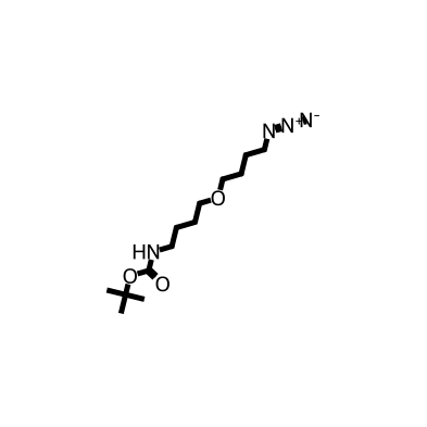 CC(C)(C)OC(=O)NCCCCOCCCCN=[N+]=[N-]